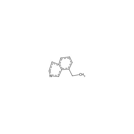 CCc1cccc2ccncc12